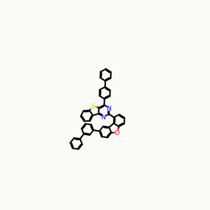 c1ccc(-c2ccc(-c3nc(-c4cccc5oc6ccc(-c7cccc(-c8ccccc8)c7)cc6c45)nc4c3sc3ccccc34)cc2)cc1